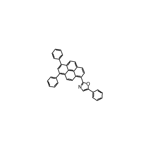 c1ccc(-c2cnc(-c3ccc4ccc5c(-c6ccccc6)cc(-c6ccccc6)c6ccc3c4c56)o2)cc1